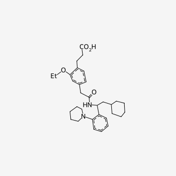 CCOc1cc(CC(=O)NC(CC2CCCCC2)c2ccccc2N2CCCCC2)ccc1CCC(=O)O